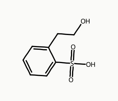 O=S(=O)(O)c1ccccc1CCO